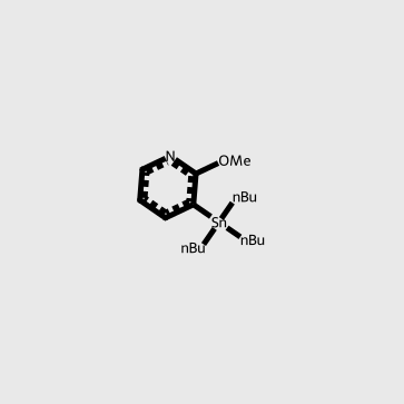 CCC[CH2][Sn]([CH2]CCC)([CH2]CCC)[c]1cccnc1OC